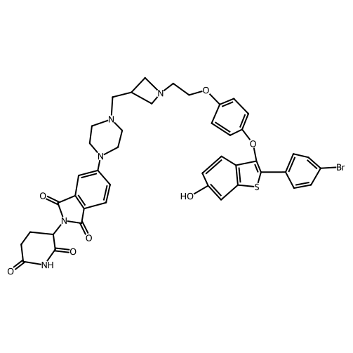 O=C1CCC(N2C(=O)c3ccc(N4CCN(CC5CN(CCOc6ccc(Oc7c(-c8ccc(Br)cc8)sc8cc(O)ccc78)cc6)C5)CC4)cc3C2=O)C(=O)N1